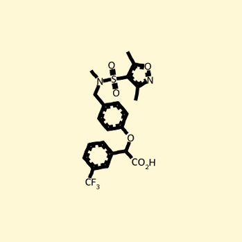 Cc1noc(C)c1S(=O)(=O)N(C)Cc1ccc(OC(C(=O)O)c2cccc(C(F)(F)F)c2)cc1